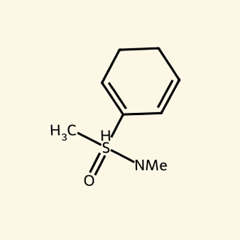 CN[SH](C)(=O)C1=CCCC=C1